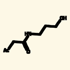 CC(=O)CC(=O)NCCCO